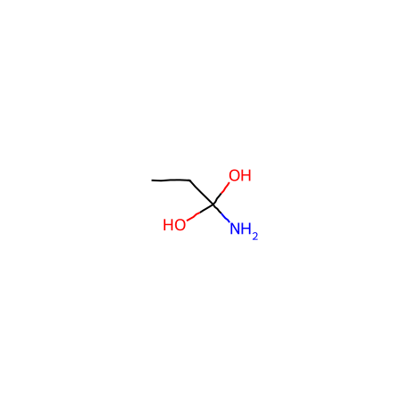 CCC(N)(O)O